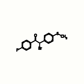 CSc1ccc(C(Br)C(=O)c2ccc(F)cc2)cc1